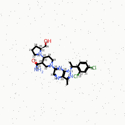 Cc1nn(C(C)c2ccc(Cl)cc2Cl)c2nc(N3CC[C@H](N4CCC[C@H]4CO)C(C(N)=O)C3)cnc12